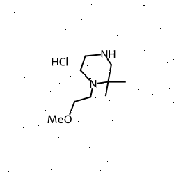 COCCN1CCNCC1(C)C.Cl